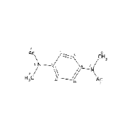 CC(=O)N(C)c1ccc(N(C)C(C)=O)cc1